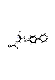 NC(=O)OC/C(=C/F)COc1ccc(N2CCOCC2)cc1